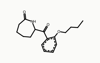 CCCCOc1ccccc1C(=O)C1CCCCC(=O)N1